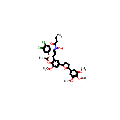 CCCC(=O)N(O)/C=C/Cc1cc(C2CCC(c3cc(OC)c(OC)c(OC)c3)O2)cc(OC)c1OC(C)Sc1ccc(Cl)c(Cl)c1